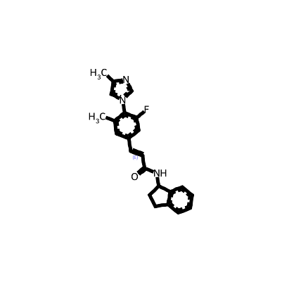 Cc1cn(-c2c(C)cc(/C=C/C(=O)NC3CCc4ccccc43)cc2F)cn1